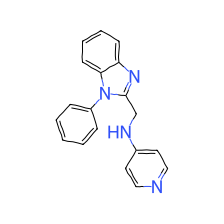 c1ccc(-n2c(CNc3ccncc3)nc3ccccc32)cc1